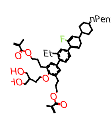 C=C(C)C(=O)OCCCc1cc(-c2ccc(C3=CCC(C4CCC(CCCCC)CC4)C=C3F)cc2CC)cc(CCCOC(=O)C(=C)C)c1OCCC(CO)CO